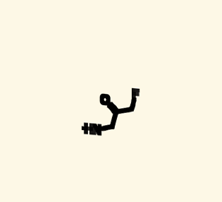 [NH]CC(=O)CF